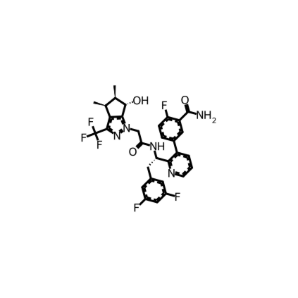 C[C@@H]1[C@H](C)c2c(C(F)(F)F)nn(CC(=O)N[C@@H](Cc3cc(F)cc(F)c3)c3ncccc3-c3ccc(F)c(C(N)=O)c3)c2[C@H]1O